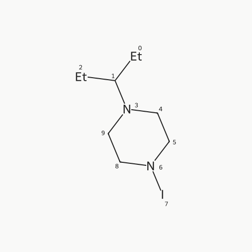 CCC(CC)N1CCN(I)CC1